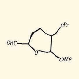 CCCC1CC(C=O)OC1OC